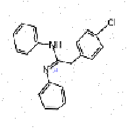 Clc1ccc(C/C(=N\c2ccccc2)Nc2ccccc2)cc1